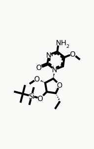 CC[C@H]1O[C@@H](n2cc(OC)c(N)nc2=O)[C@@H](OC)C1O[Si](C)(C)C(C)(C)C